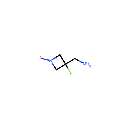 NCC1(F)CN(I)C1